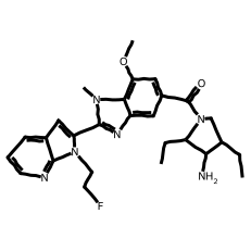 CCC1CN(C(=O)c2cc(OC)c3c(c2)nc(-c2cc4cccnc4n2CCF)n3C)C(CC)C1N